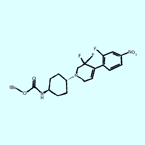 CC(C)(C)OC(=O)N[C@H]1CC[C@H](N2CC=C(c3ccc([N+](=O)[O-])cc3F)C(F)(F)C2)CC1